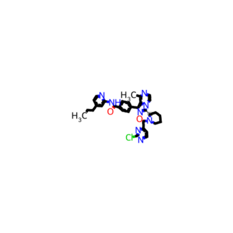 CCCc1ccnc(NC(=O)c2ccc(-c3nc([C@@H]4CCCCN4C(=O)c4ccnc(Cl)n4)n4ccnc(C)c34)cc2)c1